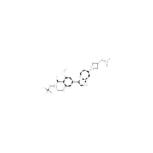 COc1cc(-c2cnc3cc(N4CC(CN(C)C)C4)ccn23)cc2c1C(=O)N(CC(F)(F)F)CC2